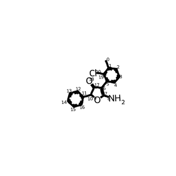 Cc1cccc(C2=C(N)OC(c3ccccc3)C2=O)c1Cl